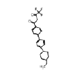 CCC1CCC(c2ccc(-c3ccc(C(=O)CC(=O)C(F)(F)F)cc3)cc2)CC1